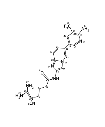 N#C[N+](CCCC(=O)Nc1cn2nc(-c3cnc(N)c(C(F)(F)F)c3)ccc2n1)=C(N)N